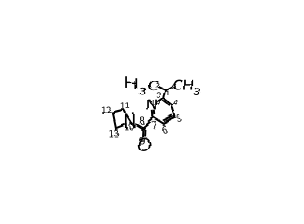 CC(C)c1cccc(C(=O)N2CCC2)n1